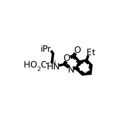 CCc1cccc2nc(N[C@@H](CC(C)C)C(=O)O)oc(=O)c12